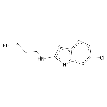 CCSCCNc1nc2cc(Cl)ccc2s1